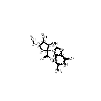 CCCCC(=O)[C@@]1(n2cnc3c(=O)[nH]c(N)nc32)O[C@H](CO)[C@@H](O)[C@H]1O